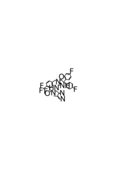 N=C1NC(c2ccc(F)cc2)(c2ccc(F)cc2)C(=O)N1Cc1ccc(C(F)(F)F)c(C(=O)N2Cc3cncnc3C2)c1